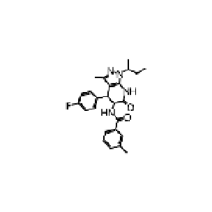 CCC(C)n1nc(C)c2c1NC(=O)C(NC(=O)c1cccc(C)c1)C2c1ccc(F)cc1